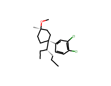 CCC[C@H](CC)[C@]1(c2ccc(Cl)c(Cl)c2)CC[C@](C)(OC)CC1